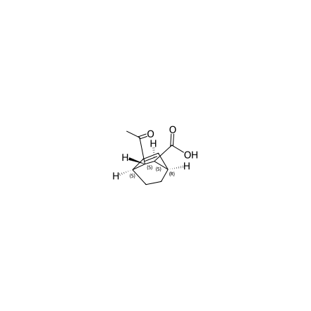 CC(=O)[C@@H]1[C@@H](C(=O)O)[C@H]2C=C[C@@H]1CC2